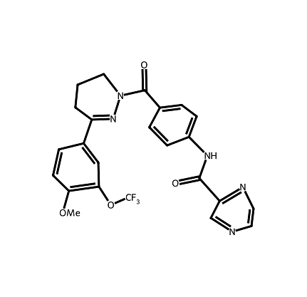 COc1ccc(C2=NN(C(=O)c3ccc(NC(=O)c4cnccn4)cc3)CCC2)cc1OC(F)(F)F